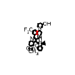 CS(=O)(=O)c1ccc2nc(-c3cccc(C(F)(F)F)c3)c(CN3CCC(N4CCC[C@H](O)C4)CC3)c(C(=O)NC3(c4ccccc4)CC3)c2c1